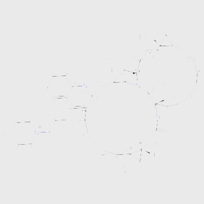 O=C1N[C@H]2CCCCC/C=C\[C@@H]3C[C@@]3(C(=O)O)NC(=O)[C@H]3C[C@@H](CN3C2=O)Oc2nc3ccccc3c(OCCN3CCOCC3)c2CCCCC[C@@H]2C[C@H]2O1